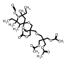 CCC1(C)CC2(OCC(COCC(COC(C)=O)(COC(C)=O)COC(C)=O)(COC(C)=O)CO2)C(C)C(C)(CC)N1OC=O